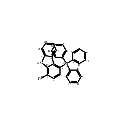 Clc1ccc([Si](c2ccccc2)(c2ccccc2)c2ccccc2)c2c1oc1ccccc12